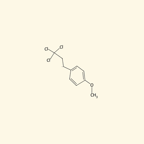 COc1ccc([CH]CC(Cl)(Cl)Cl)cc1